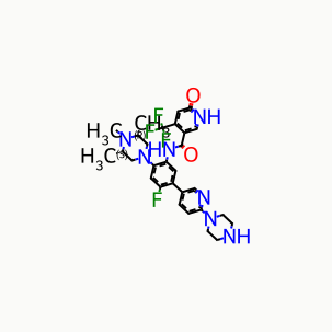 C[C@@H]1CN(c2cc(F)c(-c3ccc(N4CCNCC4)nc3)cc2NC(=O)c2c[nH]c(=O)cc2C(F)(F)F)C[C@H](C)N1C